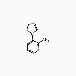 Nc1ccccc1N1CCN=N1